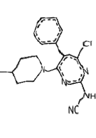 CC1CCN(c2nc(NC#N)nc(Cl)c2-c2ccccc2)CC1